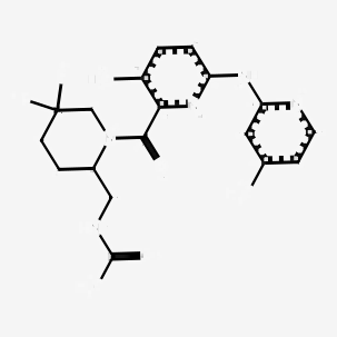 CC(=O)NCC1CCC(F)(F)CN1C(=O)c1nc(Nc2cc(C)ccn2)ccc1C